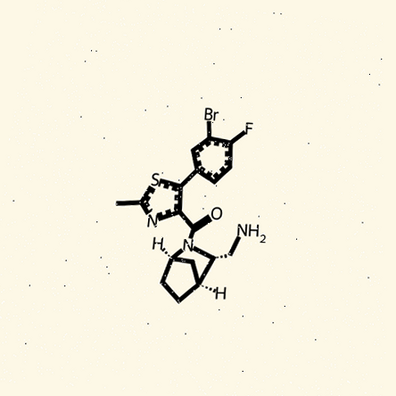 Cc1nc(C(=O)N2[C@@H]3CC[C@@H](C3)[C@H]2CN)c(-c2ccc(F)c(Br)c2)s1